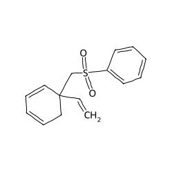 C=CC1(CS(=O)(=O)c2ccccc2)C=CC=CC1